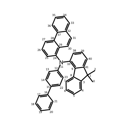 CC1(C)c2ccccc2-c2c(N(c3ccc(-c4ccccc4)cc3)c3cccc4c3ccc3ccccc34)cccc21